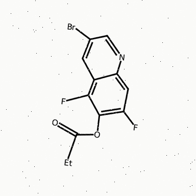 CCC(=O)Oc1c(F)cc2ncc(Br)cc2c1F